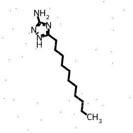 CCCCCCCCCCCc1nc(N)n[nH]1